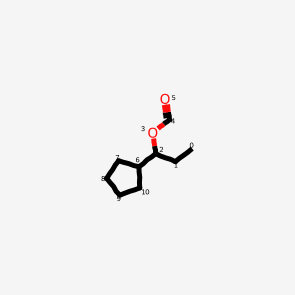 CCC(OC=O)C1CCCC1